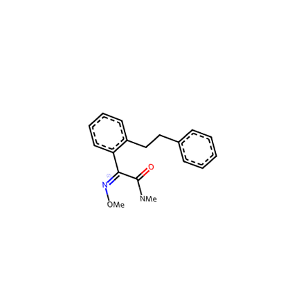 CNC(=O)/C(=N\OC)c1ccccc1CCc1ccccc1